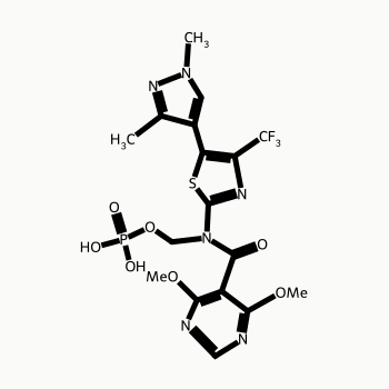 COc1ncnc(OC)c1C(=O)N(COP(=O)(O)O)c1nc(C(F)(F)F)c(-c2cn(C)nc2C)s1